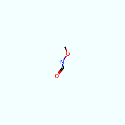 CO[N]C=O